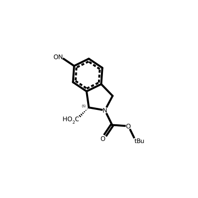 CC(C)(C)OC(=O)N1Cc2ccc(N=O)cc2[C@H]1C(=O)O